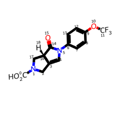 O=C(O)N1CC2=CN(c3ccc(OC(F)(F)F)cc3)C(=O)[C@H]2C1